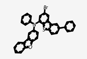 Brc1cc(N(c2ccccc2)c2ccc3oc4ccccc4c3c2)c2sc3ccc(-c4ccccc4)cc3c2c1